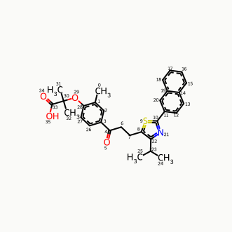 Cc1cc(C(=O)CCc2sc(-c3ccc4ccccc4c3)nc2C(C)C)ccc1OC(C)(C)C(=O)O